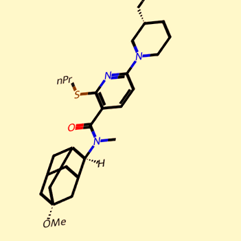 CCCSc1nc(N2CCC[C@@H](CC(=O)O)C2)ccc1C(=O)N(C)[C@H]1C2CC3CC1C[C@](OC)(C3)C2